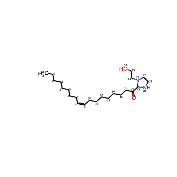 CCCCCCCC/C=C\CCCCCCCC(=O)C1NCCN1CCO